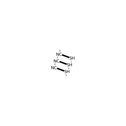 N#CS.N#CS.N#CS